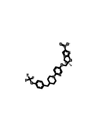 C[C@]1(COc2ccc(N3CCC(Cc4ccc(OC(F)(F)F)cc4)CC3)nc2)Cn2cc([N+](=O)[O-])nc2O1